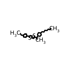 CCCCCCCC1CCC(C(C)c2cc3sc(-c4ccc(CCC)cc4)cc3s2)CC1